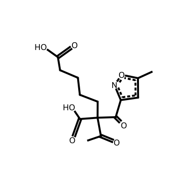 CC(=O)C(CCCCC(=O)O)(C(=O)O)C(=O)c1cc(C)on1